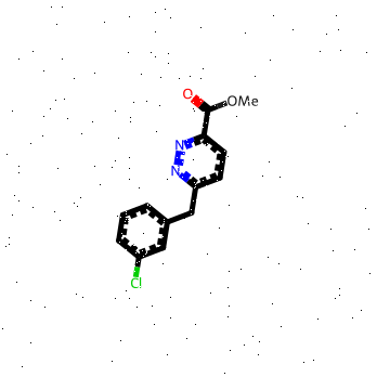 COC(=O)c1ccc(Cc2cccc(Cl)c2)nn1